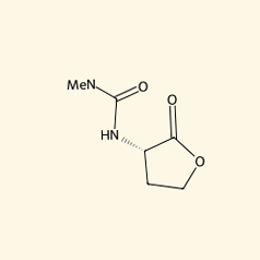 CNC(=O)N[C@H]1CCOC1=O